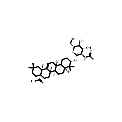 CC(=O)N[C@H]1[C@H](O[C@H]2CC[C@]3(C)[C@H]4CC=C5[C@@H]6CC(C)(C)CC[C@]6(C(=O)O)CC[C@@]5(C)[C@]4(C)CC[C@H]3C2(C)C)O[C@H](CO)[C@@H](O)[C@@H]1O